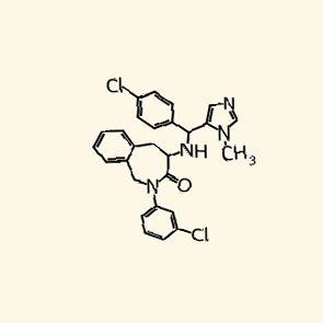 Cn1cncc1C(NC1Cc2ccccc2CN(c2cccc(Cl)c2)C1=O)c1ccc(Cl)cc1